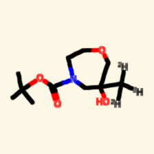 [2H]C([2H])([2H])C1(O)COCCN(C(=O)OC(C)(C)C)C1